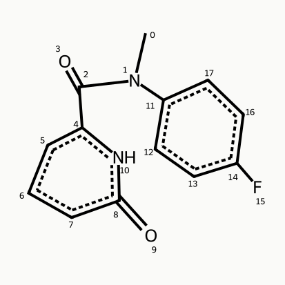 CN(C(=O)c1cccc(=O)[nH]1)c1ccc(F)cc1